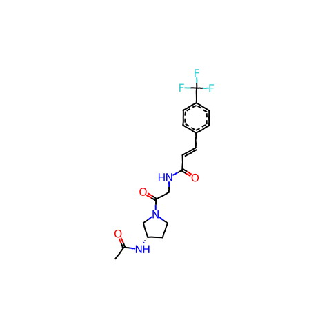 CC(=O)N[C@H]1CCN(C(=O)CNC(=O)/C=C/c2ccc(C(F)(F)F)cc2)C1